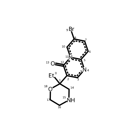 CCC1(c2cnc3ccc(Br)cn3c2=O)CNCCO1